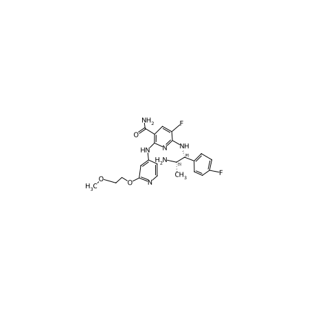 COCCOc1cc(Nc2nc(N[C@H](c3ccc(F)cc3)[C@H](C)N)c(F)cc2C(N)=O)ccn1